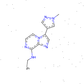 CC(C)CNc1nccn2c(-c3cnn(C)c3)cnc12